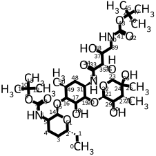 CC[C@@H]1CCC(NC(=O)OC(C)(C)C)[C@@H](OC2C(O)C(O[C@H]3OCC(C)(O)[C@H](C)C3O)[C@H](NC(=O)[C@@H](O)C(O)CNC(=O)OC(C)(C)C)C[C@@H]2C)O1